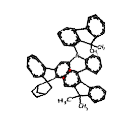 CC1(C)c2ccccc2-c2c(-c3ccccc3N(c3ccc4c(c3)-c3ccccc3C43CC4CCC3C4)c3cccc4c3C(C)(C)c3ccccc3-4)cccc21